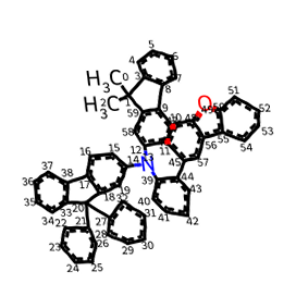 CC1(C)c2ccccc2-c2ccc(N(c3ccc4c(c3)C(c3ccccc3)(c3ccccc3)c3ccccc3-4)c3ccccc3-c3ccc4oc5ccccc5c4c3)cc21